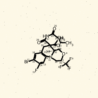 CC(C)[C@@H]1O[C@H](C(F)(F)F)CN2c3cc(F)c(Br)cc3CC3(C(=O)NC(=O)NC3=O)[C@@H]12